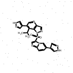 CC(C)c1c(-c2cn[nH]c2)cnc2cnn(S(=O)(=O)c3cnc4ccc(-c5cn[nH]c5)cn34)c12